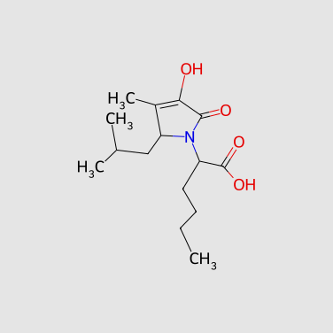 CCCCC(C(=O)O)N1C(=O)C(O)=C(C)C1CC(C)C